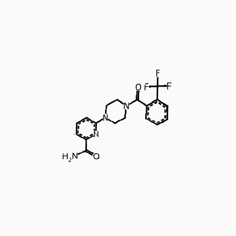 NC(=O)c1[c]ccc(N2CCN(C(=O)c3ccccc3C(F)(F)F)CC2)n1